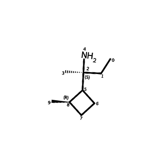 CC[C@](C)(N)C1CC[C@H]1C